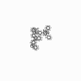 N#Cc1cc(-c2nc(-c3ccccc3)nc(-c3ccccc3)n2)ccc1-n1c2ccccc2c2ccc3c(c4ccccc4n3-c3ccc4oc5ccccc5c4c3)c21